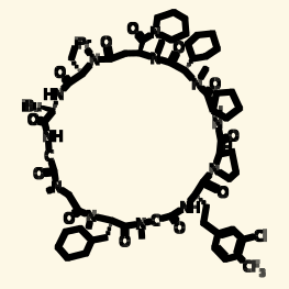 CC[C@H](C)[C@@H]1NC(=O)[C@H](CC(C)C)N(C)C(=O)C[C@@H](C(=O)N2CCCCC2)N(C)C(=O)[C@H](C2CCCCC2)N(C)C(=O)C2(CCCC2)NC(=O)[C@@H]2CCCN2C(=O)[C@H](CCc2ccc(C(F)(F)F)c(Cl)c2)NC(=O)CN(C)C(=O)[C@H](CC2CCCCC2)N(C)C(=O)CN(C)C(=O)CNC1=O